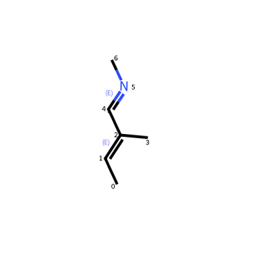 C/C=C(C)/[C]=N/C